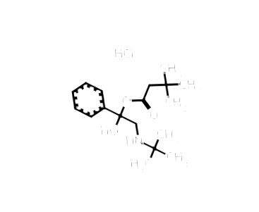 CC(C)(C)CC(=O)OC(O)(CNC(C)(C)C)c1ccccc1.Cl